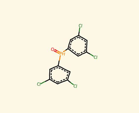 O=[PH](c1cc(Cl)cc(Cl)c1)c1cc(Cl)cc(Cl)c1